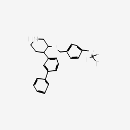 FC(F)(F)Oc1ccc(COC2CNCCC2c2cccc(-c3ccccc3)c2)cc1